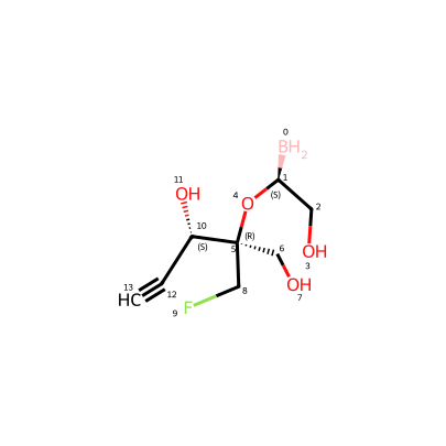 B[C@@H](CO)O[C@@](CO)(CF)[C@@H](O)C#C